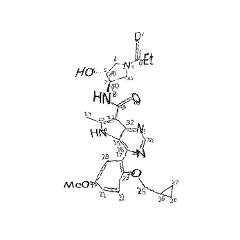 CCC(=O)N1C[C@@H](O)[C@H](NC(=O)c2c(C)[nH]c3c(-c4cc(OC)ccc4OCC4CC4)ncnc23)C1